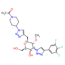 CO[C@@H]1[C@@H](n2cc(-c3cc(F)c(F)c(F)c3)nn2)[C@@H](O)[C@@H](CO)O[C@H]1Cc1cn(C2CCN(C(C)=O)CC2)nn1